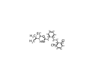 C=C(C)CC(CC)OC(=N)Cc1ccccc1CCc1c(Cl)cccc1Cl